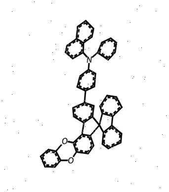 c1ccc(N(c2ccc(-c3ccc4c(c3)C3(c5ccccc5-c5ccccc53)c3ccc5c(c3-4)Oc3ccccc3O5)cc2)c2cccc3ccccc23)cc1